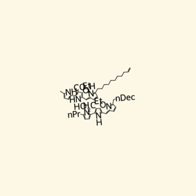 C=CCCCCCCCCCC1=NC(=Cc2[nH]c(-c3ccc(C)[nH]3)c(C(=O)O)c2OCC)C=C1.CCCCCCCCCCCC1=NC(=Cc2[nH]c(-c3ccc(CCC)[nH]3)c(C(=O)O)c2OCC)C=C1